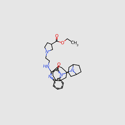 CCOC(=O)C1CCN(CCNc2nc3ccccc3n(C3CC4CCC(C3)N4C3CCCCCCC3)c2=O)C1